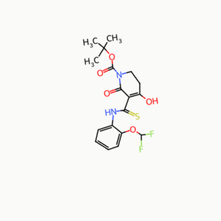 CC(C)(C)OC(=O)N1CCC(O)=C(C(=S)Nc2ccccc2OC(F)F)C1=O